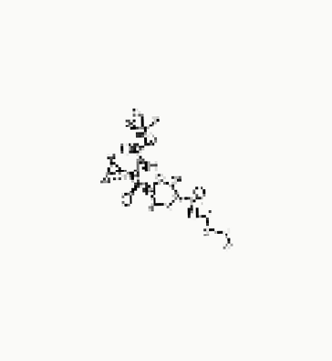 CCCCOC(=O)N1CCN(C(=O)[C@@H](NC(=O)OC(C)(C)C)C2CC2)CC1